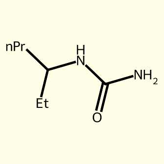 CCCC(CC)NC(N)=O